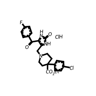 CCOC(=O)C1(c2ccc(Cl)cc2)CCN(Cc2[nH]c(=O)[nH]c2C(=O)c2ccc(F)cc2)CC1.Cl